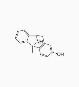 CC12NC(Cc3cc(O)ccc31)c1ccccc12